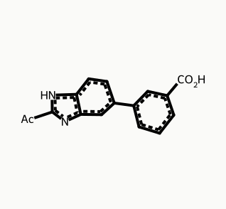 CC(=O)c1nc2cc(-c3cccc(C(=O)O)c3)ccc2[nH]1